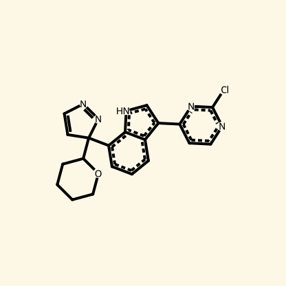 Clc1nccc(-c2c[nH]c3c(C4(C5CCCCO5)C=CN=N4)cccc23)n1